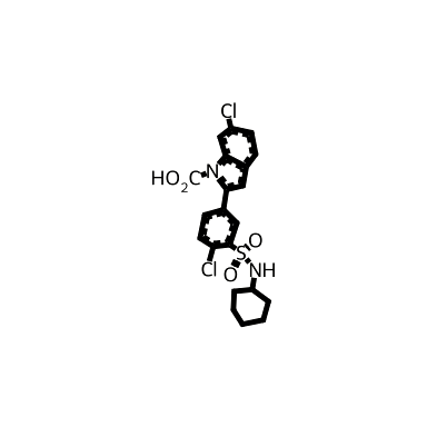 O=C(O)n1c(-c2ccc(Cl)c(S(=O)(=O)NC3CCCCC3)c2)cc2ccc(Cl)cc21